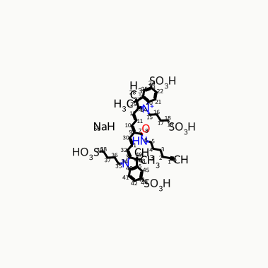 C#CCCCCNC(=O)C(=C\C=C\C1=[N+](CCCCS(=O)(=O)O)c2ccc(S(=O)(=O)O)cc2C1(C)C)/C=C/C=C1/N(CCCCS(=O)(=O)O)c2ccc(S(=O)(=O)O)cc2C1(C)C.[NaH]